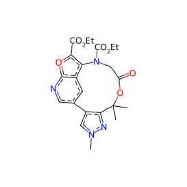 CCOC(=O)c1oc2ncc3cc2c1N(C(=O)OCC)CC(=O)OC(C)(C)c1nn(C)cc1-3